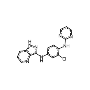 Clc1cc(Nc2n[nH]c3cccnc23)ccc1Nc1ncccn1